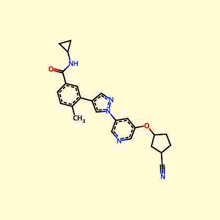 Cc1ccc(C(=O)NC2CC2)cc1-c1cnn(-c2cncc(OC3CCC(C#N)C3)c2)c1